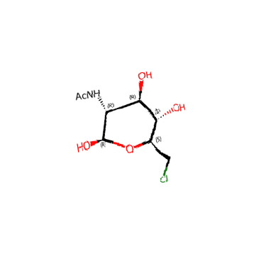 CC(=O)N[C@@H]1[C@@H](O)[C@H](O)[C@@H](CCl)O[C@H]1O